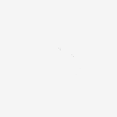 CN(C)C(C=Cc1ccccc1)[n+]1ccccc1.II